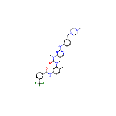 Cc1ccc(NC(=O)c2cccc(C(F)(F)F)c2)cc1N1Cc2cnc(Nc3cccc(CN4CCN(C)CC4)c3)nc2N(C)C1=O